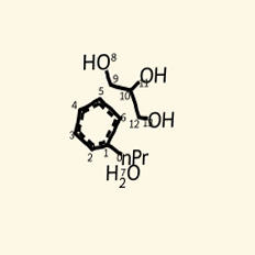 CCCc1ccccc1.O.OCC(O)CO